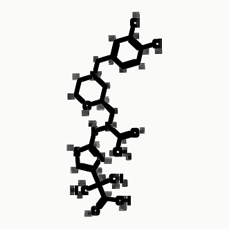 CC(=O)N(C[C@@H]1CN(Cc2ccc(Cl)c(Cl)c2)CCO1)Sc1nc(C(C)(C)C(=O)O)cs1